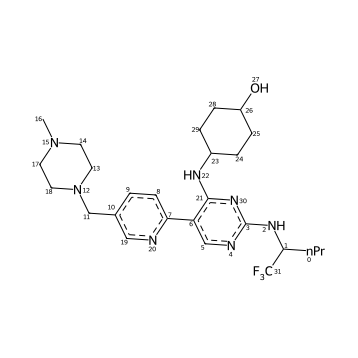 CCCC(Nc1ncc(-c2ccc(CN3CCN(C)CC3)cn2)c(NC2CCC(O)CC2)n1)C(F)(F)F